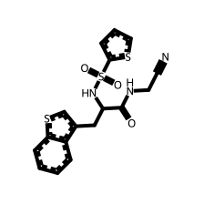 N#CCNC(=O)C(Cc1csc2ccccc12)NS(=O)(=O)c1cccs1